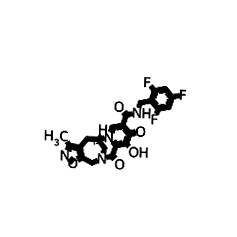 Cc1noc2c1C[C@H]1CN(C2)C(=O)c2c(O)c(=O)c(C(=O)NCc3c(F)cc(F)cc3F)cn21